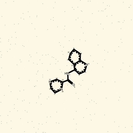 O=C(Nc1ccnc2ccccc12)c1cnccn1